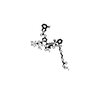 C=C[C@@H]1C[C@]1(NC(=O)[C@@H]1C[C@@H](OC(=O)N2Cc3cccc(F)c3C2)CN1C(=O)OC(C)(C)C)C(=O)NS(=O)(=O)c1ccccc1NCCOCCCOCC(=O)OC